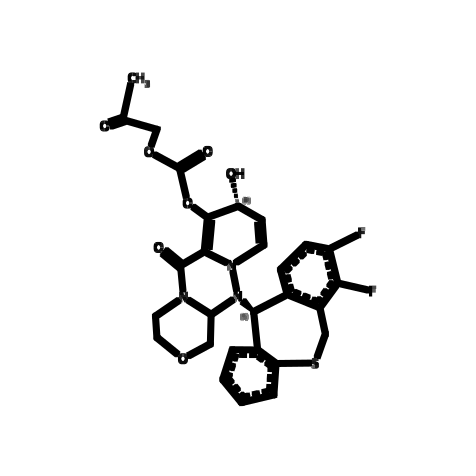 CC(=O)COC(=O)OC1=C2C(=O)N3CCOCC3N([C@@H]3c4ccccc4SCc4c3ccc(F)c4F)N2C=C[C@H]1O